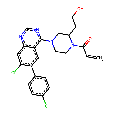 C=CC(=O)N1CCN(c2ncnc3cc(Cl)c(-c4ccc(Cl)cc4)cc23)CC1CCO